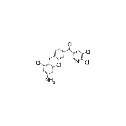 Nc1cc(Cl)c(Cc2ccc(C(=O)c3cnc(Cl)c(Cl)c3)cc2)c(Cl)c1